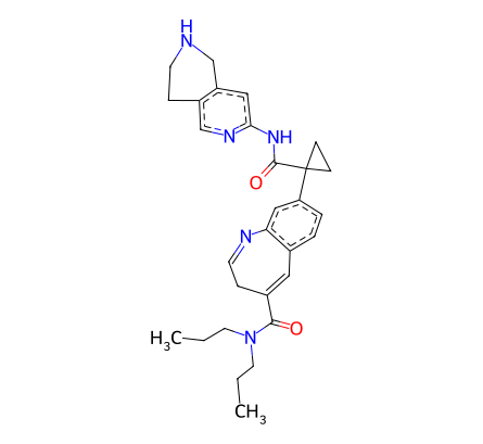 CCCN(CCC)C(=O)C1=Cc2ccc(C3(C(=O)Nc4cc5c(cn4)CCNC5)CC3)cc2N=CC1